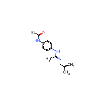 C=C(C)C/N=C(\C)Nc1ccc(NC(=O)CC)cc1